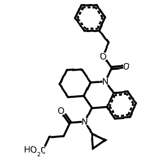 O=C(O)CCC(=O)N(C1CC1)C1c2ccccc2N(C(=O)OCc2ccccc2)C2CCCCC21